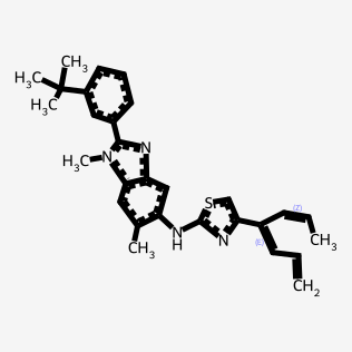 C=C/C=C(\C=C/C)c1csc(Nc2cc3nc(-c4cccc(C(C)(C)C)c4)n(C)c3cc2C)n1